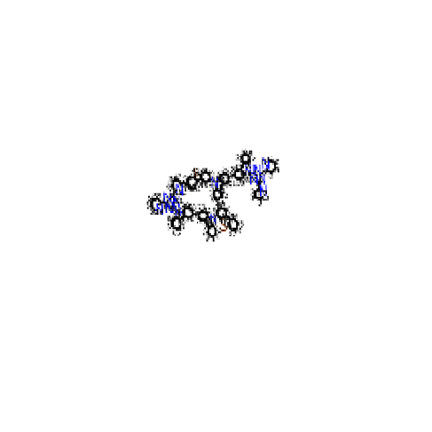 c1ccc(-c2nc(-c3ccccn3)nc(-n3c4ccccc4c4cc(-c5ccc6c(c5)c5ccccc5n6-c5ccc6sc7cc(-c8cccc(-c9nc(-c%10ccccn%10)nc(-n%10c%11ccccc%11c%11cc(-c%12ccc%13c(c%12)c%12ccccc%12n%13-c%12cccc%13c%12sc%12ccccc%12%13)ccc%11%10)n9)n8)ccc7c6c5)ccc43)n2)nc1